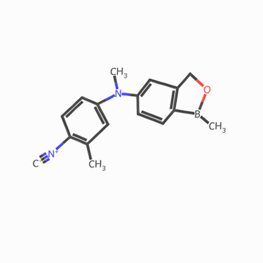 [C-]#[N+]c1ccc(N(C)c2ccc3c(c2)COB3C)cc1C